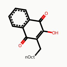 CCCCCCCCCC1=C(O)C(=O)c2ccccc2C1=O